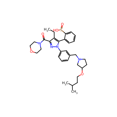 CCc1c(C(=O)N2CCOCC2)nn(-c2cccc(CN3CCC(OCCC(C)C)C3)c2)c1-c1ccccc1S(=O)O